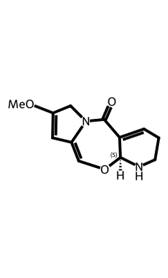 COC1=CC2=CO[C@@H]3NCCC=C3C(=O)N2C1